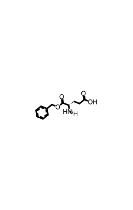 [2H]N[C@@H](CCC(=O)O)C(=O)OCc1ccccc1